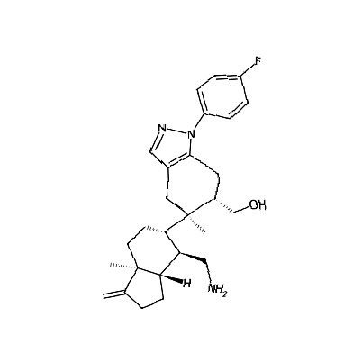 C=C1CC[C@H]2[C@H](CN)[C@@H]([C@@]3(C)Cc4cnn(-c5ccc(F)cc5)c4C[C@@H]3CO)CC[C@]12C